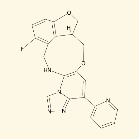 Fc1ccc2c3c1CNc1c(cc(-c4ccccn4)c4nncn14)OC[C@@H]3CO2